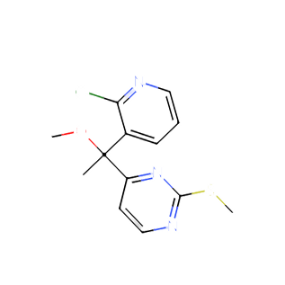 COC(C)(c1ccnc(SC)n1)c1cccnc1Cl